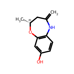 C=C1C[C@@H](C)Oc2cc(O)ccc2N1